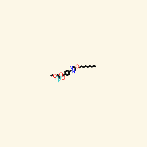 CCCCCCCCCOc1cnc(-c2ccc(C(=O)OC(COCC)C(F)(F)F)cc2)nc1